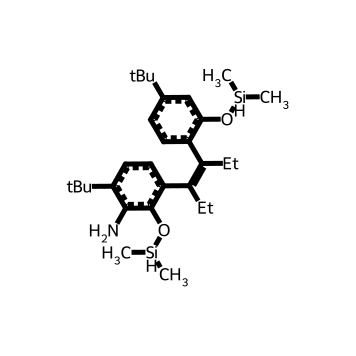 CCC(=C(CC)c1ccc(C(C)(C)C)c(N)c1O[SiH](C)C)c1ccc(C(C)(C)C)cc1O[SiH](C)C